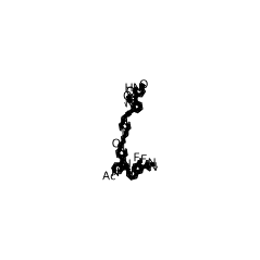 CC(=O)N1CCc2c(c(N3CCCc4cc(-c5cnn(C)c5)c(C(F)F)cc43)nn2C2CCN(C(=O)CCCN3CCN(CC#Cc4cccc5c4n(C)c(=O)n5C4CCC(=O)NC4=O)CC3)CC2)C1